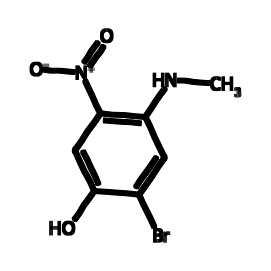 CNc1cc(Br)c(O)cc1[N+](=O)[O-]